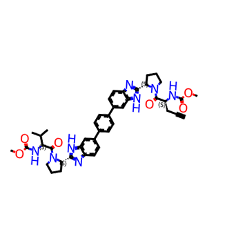 C#CC[C@H](NC(=O)OC)C(=O)N1CCC[C@H]1c1nc2ccc(-c3ccc(-c4ccc5nc([C@@H]6CCCN6C(=O)[C@@H](NC(=O)OC)C(C)C)[nH]c5c4)cc3)cc2[nH]1